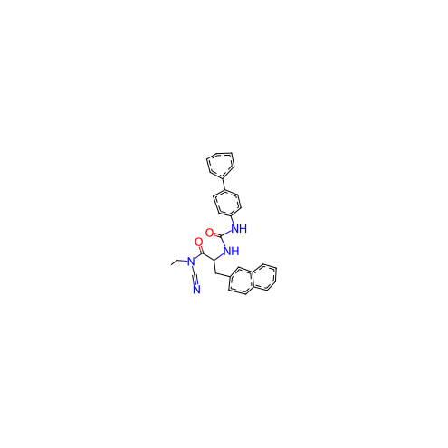 CCN(C#N)C(=O)C(Cc1ccc2ccccc2c1)NC(=O)Nc1ccc(-c2ccccc2)cc1